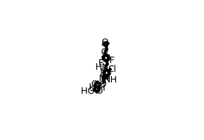 O[C@@H]1CO[C@H]2[C@@H]1OC[C@H]2Oc1nc2nc(NCc3c(F)cc(OCC4COC4)cc3F)c(Cl)cc2[nH]1